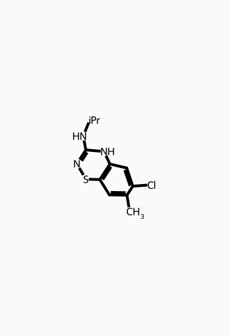 Cc1cc2c(cc1Cl)NC(NC(C)C)=NS2